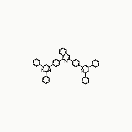 C1=C(c2ccccc2)CC(c2ccccc2)N=C1c1ccc(-c2cc3ccccc3c(-c3ccc(-c4cc(-c5ccccc5)nc(-c5ccccc5)n4)cc3)n2)cc1